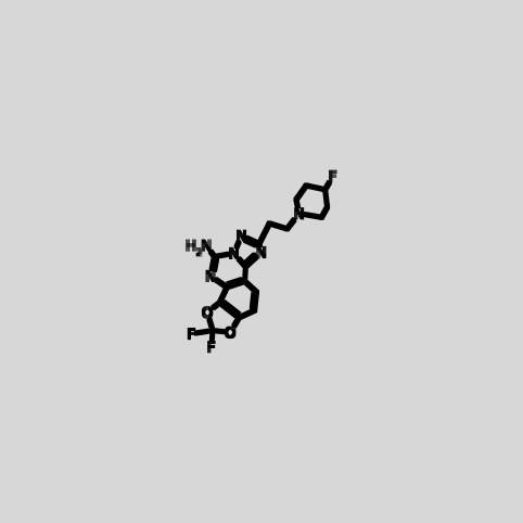 Nc1nc2c3c(ccc2c2nc(CCN4CCC(F)CC4)nn12)OC(F)(F)O3